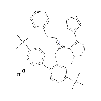 CC1C=CC(c2ccsc2)=[C]1/[Zr+2](=[CH]/Cc1ccccc1)[CH]1c2cc(C(C)(C)C)ccc2-c2ccc(C(C)(C)C)cc21.[Cl-].[Cl-]